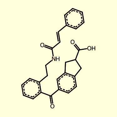 O=C(C=Cc1ccccc1)NCCc1ccccc1C(=O)c1ccc2c(c1)CC(C(=O)O)C2